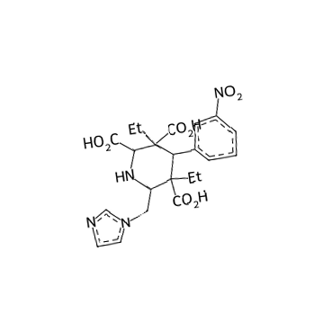 CCC1(C(=O)O)C(Cn2ccnc2)NC(C(=O)O)C(CC)(C(=O)O)C1c1cccc([N+](=O)[O-])c1